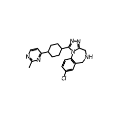 Cc1nccc(C2CCC(c3nnc4n3-c3ccc(Cl)cc3CNC4)CC2)n1